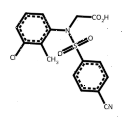 Cc1c(Cl)cccc1N(CC(=O)O)S(=O)(=O)c1ccc(C#N)cc1